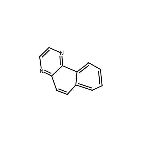 [c]1ccc2ccc3nccnc3c2c1